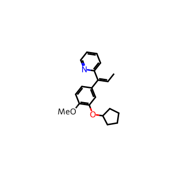 CC=C(c1ccc(OC)c(OC2CCCC2)c1)c1ccccn1